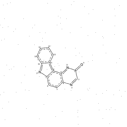 O=C1C=Nc2ccc3c(c2=N1)=c1ccccc1=N3